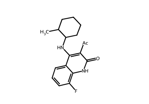 CC(=O)c1c(NC2CCCCC2C)c2cccc(F)c2[nH]c1=O